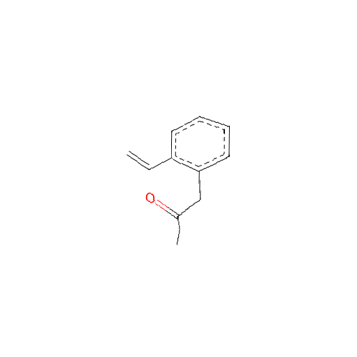 C=Cc1ccccc1CC(C)=O